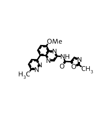 COc1ccc(-c2ccc(C)nn2)c2ncc(NC(=O)c3cnc(C)o3)nc12